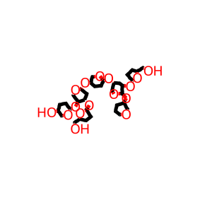 OCC1CCC(OC2CC(OC3CCC(OC4COC(OC5CCCOC5)C(OC5CCC(CO)O5)C4)OC3)OCC2OC2CCC(O)CO2)O1